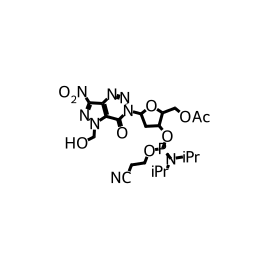 CC(=O)OCC1OC(n2nnc3c([N+](=O)[O-])nn(CO)c3c2=O)CC1OP(OCCC#N)N(C(C)C)C(C)C